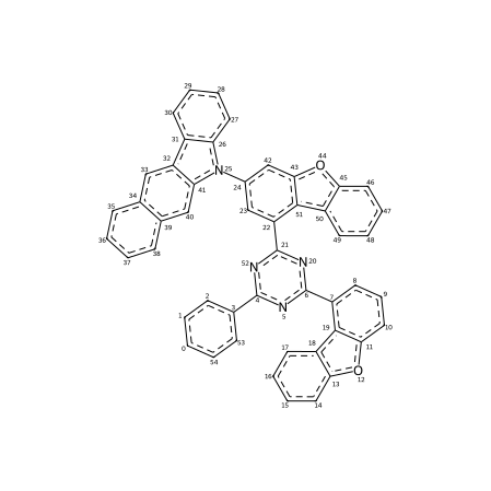 c1ccc(-c2nc(-c3cccc4oc5ccccc5c34)nc(-c3cc(-n4c5ccccc5c5cc6ccccc6cc54)cc4oc5ccccc5c34)n2)cc1